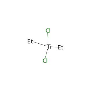 C[CH2][Ti]([Cl])([Cl])[CH2]C